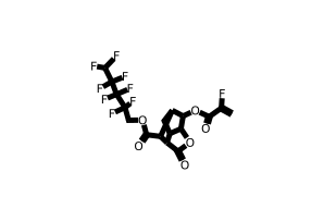 C=C(F)C(=O)OC1C2CC3C1OC(=O)C3C2C(=O)OCC(F)(F)C(F)(F)C(F)(F)C(F)F